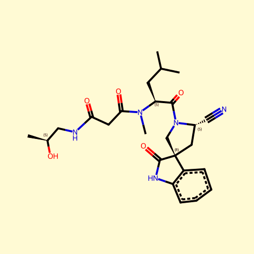 CC(C)C[C@@H](C(=O)N1C[C@]2(C[C@H]1C#N)C(=O)Nc1ccccc12)N(C)C(=O)CC(=O)NC[C@H](C)O